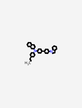 C/C=C/c1ccc(N(c2ccc(-c3ccc(-n4ccc5ccccc54)cc3)cc2)c2ccc3ccccc3c2)cc1